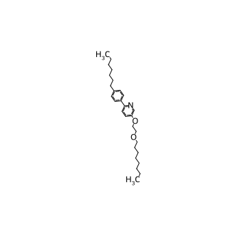 CCCCCCCCOCCOc1ccc(-c2ccc(CCCCCCC)cc2)nc1